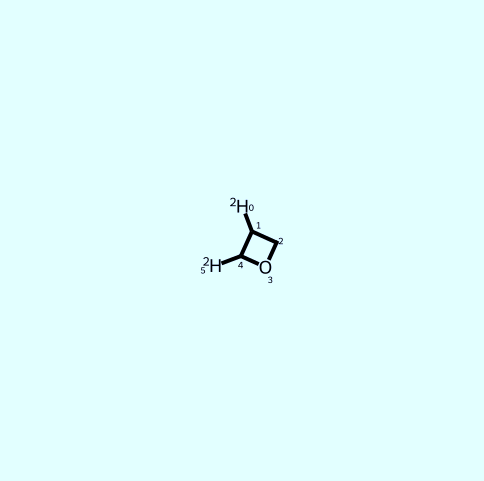 [2H]C1COC1[2H]